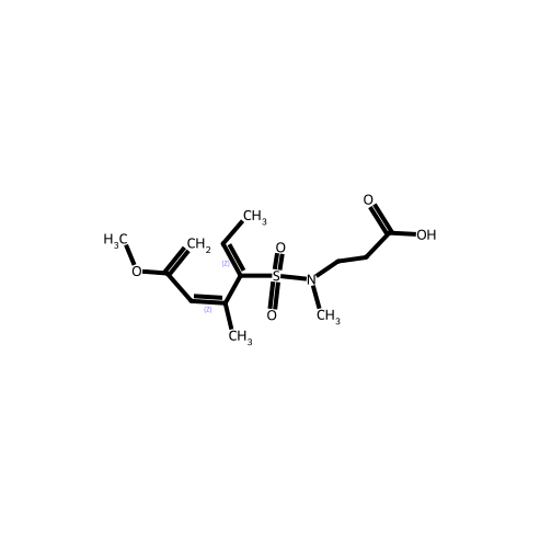 C=C(/C=C(C)\C(=C\C)S(=O)(=O)N(C)CCC(=O)O)OC